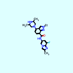 CCn1cc2c(N3CC(C)NC(C)C3)ccc(C(=O)Nc3cc(F)c4nc(C)cn4c3)c2n1